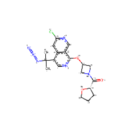 CC(C)(N=[N+]=[N-])c1cnc(OC2CN(C(=O)[C@@H]3CCCO3)C2)c2cnc(Cl)cc12